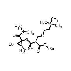 CC[C@@H]1[C@H](C)[C@@]1(SC(=N)N(COCC[Si](C)(C)C)C(=O)OC(C)(C)C)C(=O)N(C)C